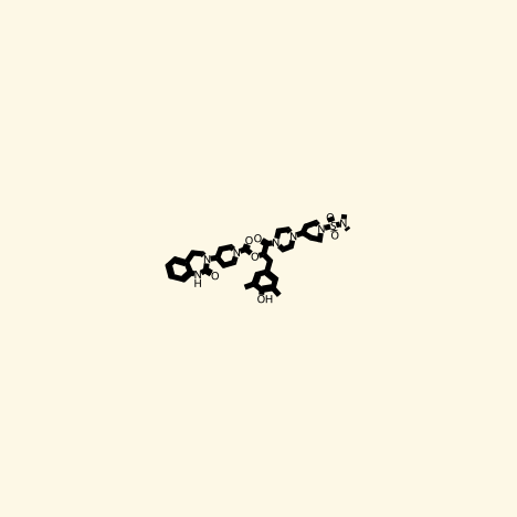 Cc1cc(CC(OC(=O)N2CCC(N3CCc4ccccc4NC3=O)CC2)C(=O)N2CCN(C3CCN(S(=O)(=O)N(C)C)CC3)CC2)cc(C)c1O